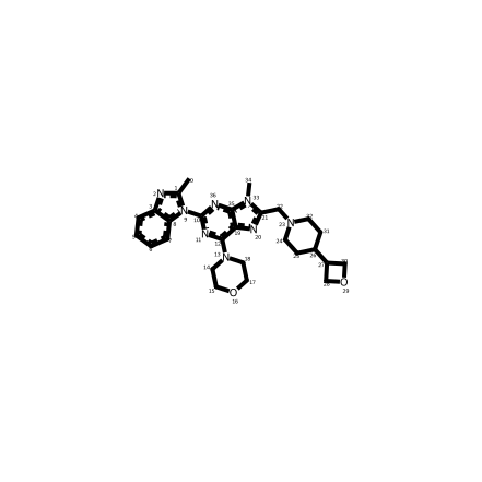 Cc1nc2ccccc2n1-c1nc(N2CCOCC2)c2nc(CN3CCC(C4COC4)CC3)n(C)c2n1